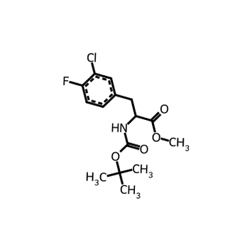 COC(=O)C(Cc1ccc(F)c(Cl)c1)NC(=O)OC(C)(C)C